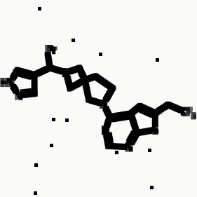 CC(C)C(c1cn[nH]c1)N1CC2(CCN(c3ncnc4sc(CC(F)(F)F)cc34)C2)C1